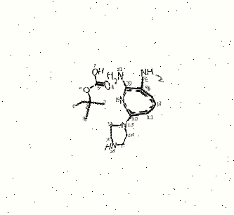 CC(C)(C)OC(=O)O.Nc1ccc(N2CCNCC2)nc1N